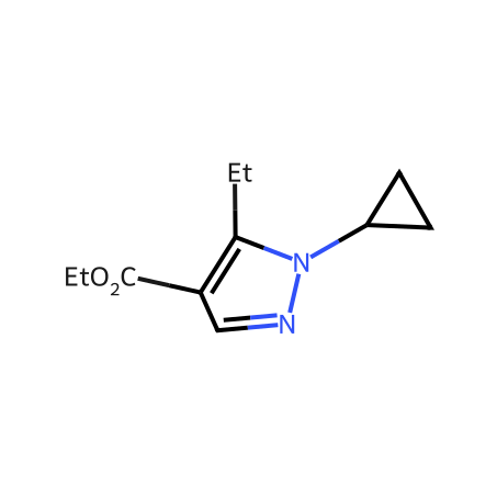 CCOC(=O)c1cnn(C2CC2)c1CC